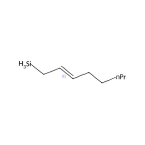 CCCCC/C=C/C[SiH3]